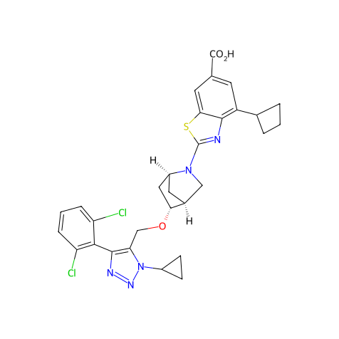 O=C(O)c1cc(C2CCC2)c2nc(N3C[C@@H]4C[C@H]3C[C@H]4OCc3c(-c4c(Cl)cccc4Cl)nnn3C3CC3)sc2c1